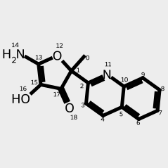 CC1(c2ccc3ccccc3n2)OC(N)=C(O)C1=O